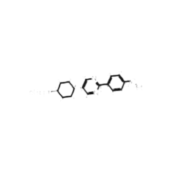 CCCCCCC[C@H]1CC[C@H](c2cnc(-c3ccc(OCC)cc3)nc2)CC1